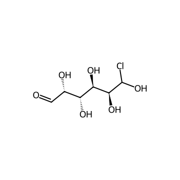 O=C[C@H](O)[C@@H](O)[C@@H](O)[C@H](O)C(O)Cl